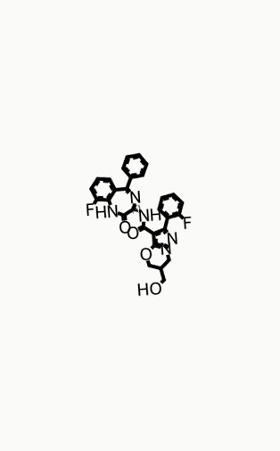 O=C(N[C@H]1N=C(c2ccccc2)c2cccc(F)c2NC1=O)c1c(-c2ccccc2F)nn2c1OCC(CO)C2